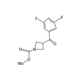 CC(C)(C)OC(=O)N1CC(C(=O)c2cc(F)cc(F)c2)C1